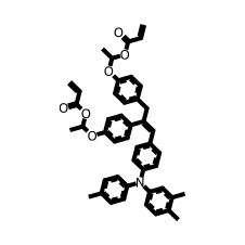 C=CC(=O)OC(C)Oc1ccc(C/C(=C/c2ccc(N(c3ccc(C)cc3)c3ccc(C)c(C)c3)cc2)c2ccc(OC(C)OC(=O)C=C)cc2)cc1